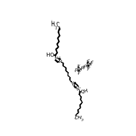 CCCCCCCCCCC(O)[n+]1ccn(CCCCCCCCn2cc[n+](C(O)CCCCCCCCCC)c2)c1.F[B-](F)(F)F.F[B-](F)(F)F